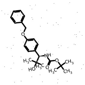 CC(C)(C)OC(=O)N[C@H](c1ccc(OCc2ccccc2)cc1)C(C)(C)O